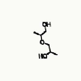 CC(O)CO[C@@H](C)CO